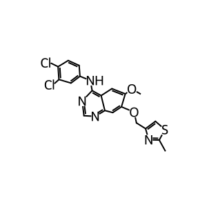 COc1cc2c(Nc3ccc(Cl)c(Cl)c3)ncnc2cc1OCc1csc(C)n1